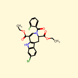 CCOC(=O)C1=CN(C(=O)c2ccccc2F)C(C(=O)OCC)Cc2c1[nH]c1cc(Br)ccc21